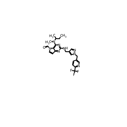 CCC(C)N(C)c1nc(NCc2cnn(Cc3ccc(C(F)(F)F)nc3)c2)nc2ccn(C=O)c12